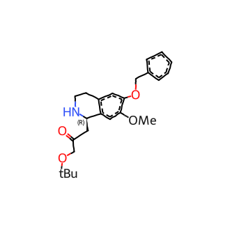 COc1cc2c(cc1OCc1ccccc1)CCN[C@@H]2CC(=O)COC(C)(C)C